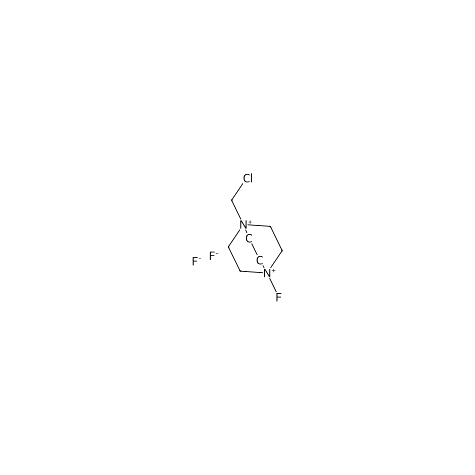 F[N+]12CC[N+](CCl)(CC1)CC2.[F-].[F-]